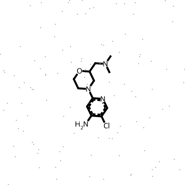 CN(C)CC1CN(c2cc(N)c(Cl)cn2)CCO1